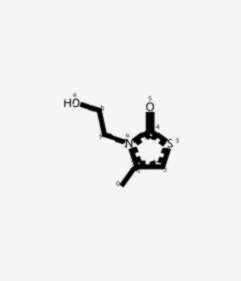 Cc1csc(=O)n1CCO